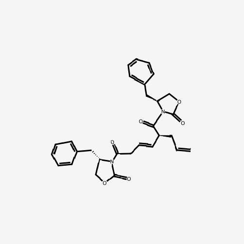 C=CC[C@@H](C=CCC(=O)N1C(=O)OC[C@@H]1Cc1ccccc1)C(=O)N1C(=O)OC[C@@H]1Cc1ccccc1